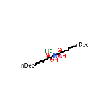 CCCCCCCCCCCCCCCCCC(=O)C(O)CNCC(O)C(=O)CCCCCCCCCCCCCCCCC.Cl